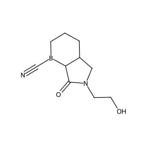 N#CB1CCCC2CN(CCO)C(=O)C12